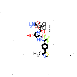 Cc1ncsc1-c1ccc(C(NC(=O)[C@@H]2C[C@@H](O)CN2C(=O)C(OC(N)=O)C(C)(C)C)C(F)(F)F)cc1